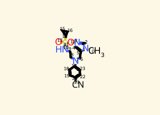 Cn1cncc1CN(CCNS(=O)(=O)C1CC1)c1ccc(C#N)cc1